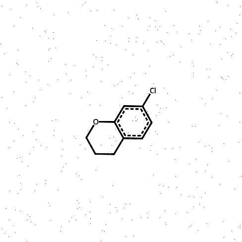 Clc1ccc2c(c1)OCCC2